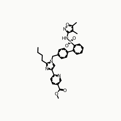 CCCCc1nc(-c2ccc(C(=O)OC)cn2)cn1Cc1ccc(-c2ccccc2S(=O)(=O)Nc2noc(C)c2C)cc1